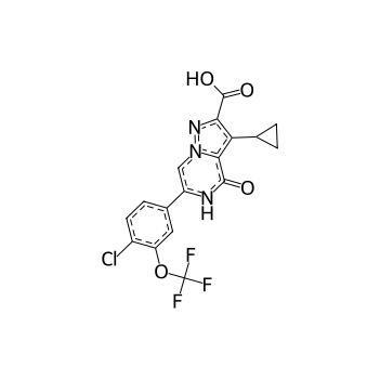 O=C(O)c1nn2cc(-c3ccc(Cl)c(OC(F)(F)F)c3)[nH]c(=O)c2c1C1CC1